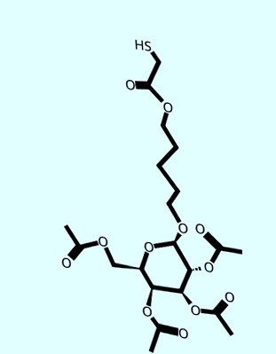 CC(=O)OC[C@H]1O[C@@H](OCCCCCOC(=O)CS)[C@H](OC(C)=O)[C@@H](OC(C)=O)[C@H]1OC(C)=O